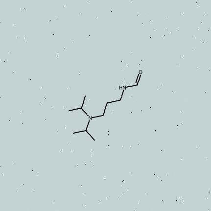 CC(C)N(CCCNC=O)C(C)C